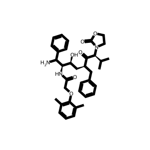 Cc1cccc(C)c1OCC(=O)N[C@@H](C(N)c1ccccc1)[C@@H](O)C[C@H](Cc1ccccc1)C(=O)[C@H](C(C)C)N1CCOC1=O